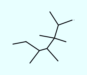 [CH2]C(C)C(C)(C)C(C)C(C)CC